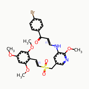 COc1cc(OC)c(/C=C/S(=O)(=O)Cc2cnc(OC)c(N/C=C/C(=O)c3ccc(Br)cc3)c2)c(OC)c1